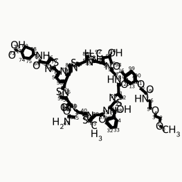 COCCOCCNC(=O)COc1ccc(C[C@@H]2NC(=O)c3csc(n3)[C@H]([C@H](O)c3ccccc3)NC(=O)c3nc(sc3C)[C@H](CC(N)=O)NC(=O)c3csc(n3)-c3ccc(-c4nc(C(=O)N[C@H]5CC[C@H](C(=O)O)CC5)cs4)nc3-c3csc(n3)-c3csc(n3)[C@@H]3[C@@H](C)[C@@H](O)CN3C2=O)cc1